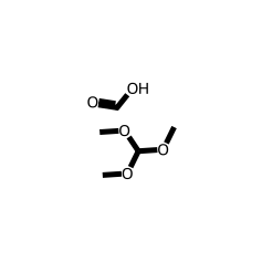 COC(OC)OC.O=CO